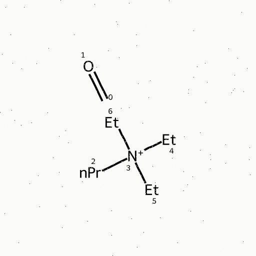 C=O.CCC[N+](CC)(CC)CC